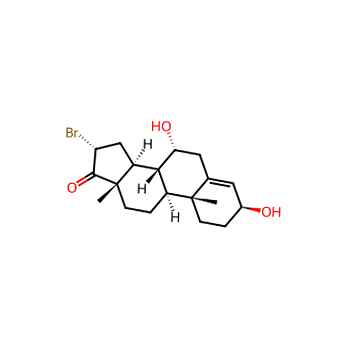 C[C@]12CC[C@H](O)C=C1C[C@@H](O)[C@@H]1[C@@H]2CC[C@]2(C)C(=O)[C@H](Br)C[C@@H]12